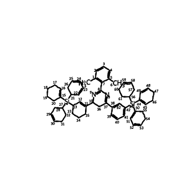 Cc1cccc(C)c1C1=NC(C2=CC([Si](C3=CCCCC3)(C3C=CC=CC3)C3CC=CCC3)CCC2)CC(c2cccc([Si](C3=CCCC=C3)(C3=CC=CCC3)C3CC=CCC3)c2)=N1